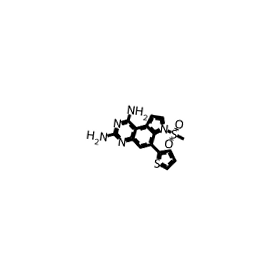 CS(=O)(=O)n1ccc2c3c(N)nc(N)nc3cc(-c3cccs3)c21